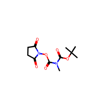 CN(C(=O)ON1C(=O)CCC1=O)C(=O)OC(C)(C)C